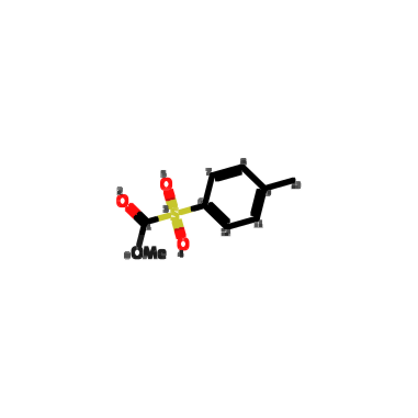 COC(=O)S(=O)(=O)c1ccc(C)cc1